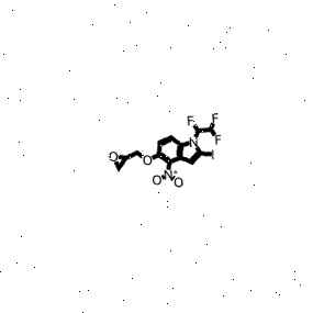 O=[N+]([O-])c1c(OCC2CO2)ccc2c1cc(I)n2C(F)C(F)F